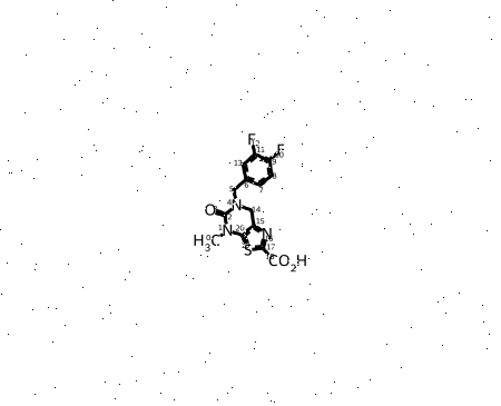 CN1C(=O)N(Cc2ccc(F)c(F)c2)Cc2nc(C(=O)O)sc21